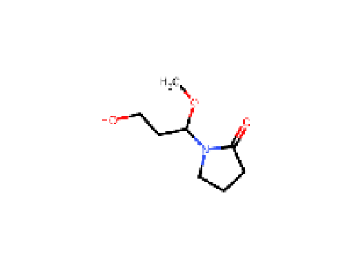 COC(CCO)N1CCCC1=O